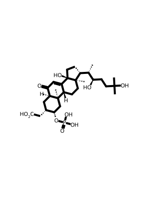 C[C@H]([C@H](O)CCC(C)(C)O)[C@H]1CC[C@@]2(O)C3=CC(=O)[C@@H]4C[C@@H](CC(=O)O)[C@@H](OP(=O)(O)O)C[C@]4(C)[C@H]3CC[C@]12C